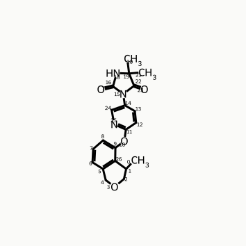 CC1COCc2cccc(Oc3ccc(N4C(=O)NC(C)(C)C4=O)cn3)c21